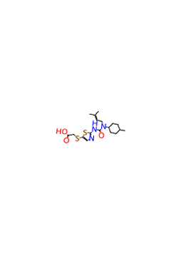 CC(C)=CCN(C(=O)Nc1ncc(SCC(=O)O)s1)C1CCC(C)CC1